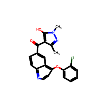 Cc1nn(C)c(O)c1C(=O)c1ccc2nccc(Oc3ccccc3Cl)c2c1